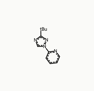 CC(C)(C)c1ncn(-c2ccccn2)n1